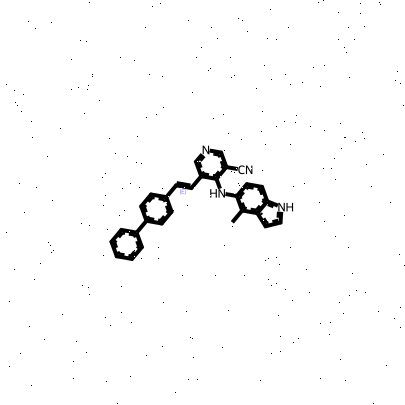 Cc1c(Nc2c(C#N)cncc2/C=C/c2ccc(-c3ccccc3)cc2)ccc2[nH]ccc12